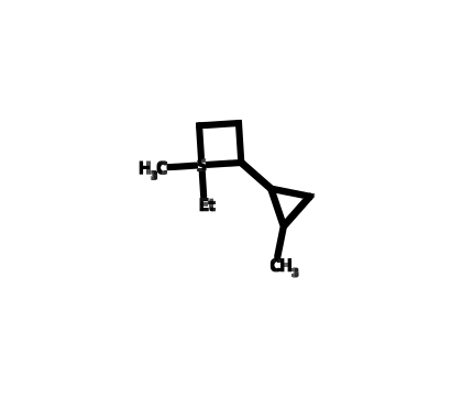 CCS1(C)CCC1C1CC1C